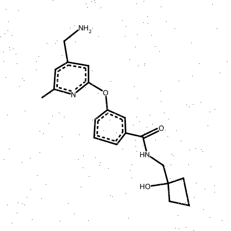 Cc1cc(CN)cc(Oc2cccc(C(=O)NCC3(O)CCC3)c2)n1